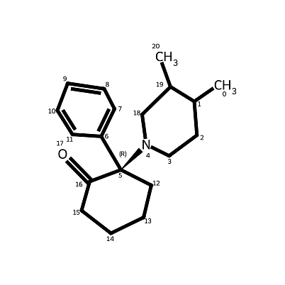 CC1CCN([C@@]2(c3ccccc3)CCCCC2=O)CC1C